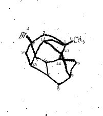 CC12CC3(Br)CC4C5CC(CC41)CC2C5C3